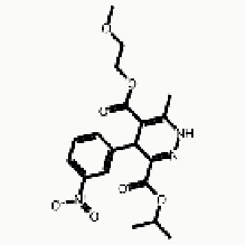 COCCOC(=O)C1=C(C)NN=C(C(=O)OC(C)C)C1c1cccc([N+](=O)[O-])c1